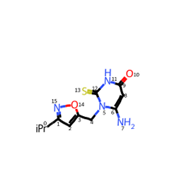 CC(C)c1cc(Cn2c(N)cc(=O)[nH]c2=S)on1